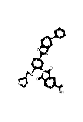 O=C(O)c1ccc2c(c1)C(=O)N(c1cc(-c3nc4cc(-c5ccccc5)ccc4o3)ccc1OCC1CCOC1)C2=O